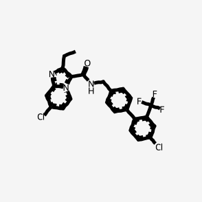 CCc1nc2cc(Cl)ccn2c1C(=O)NCc1ccc(-c2ccc(Cl)cc2C(F)(F)F)cc1